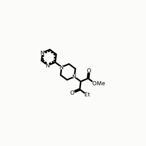 CCC(=O)C(C(=O)OC)N1CCN(c2ccncn2)CC1